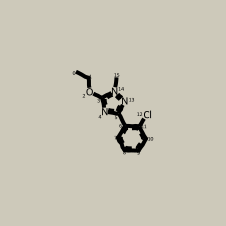 CCOc1nc(-c2ccccc2Cl)nn1C